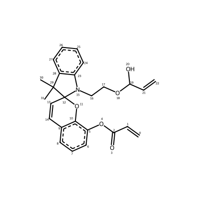 C=CC(=O)Oc1cccc2c1OC1(C=C2)N(CCOC(O)C=C)c2ccccc2C1(C)C